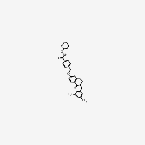 O=C(NOC1CCCCO1)c1ccc(COc2ccc3c(c2)CCC(Cc2cc(C(F)(F)F)cc(C(F)(F)F)c2)C3=O)cc1